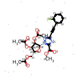 COC(=O)c1nc(C#Cc2ccccc2F)nn1[C@@H]1O[C@H](COC(C)=O)[C@@H](OC(C)=O)[C@H]1OC(C)=O